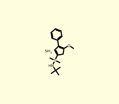 COC1=C(c2ccccc2)C=[C]([Ti]([CH3])([CH3])[NH]C(C)(C)C)C1.[SiH4]